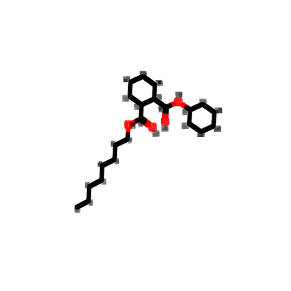 CCCCCCCCOC(=O)C1CCCCC1C(=O)OC1CCCCC1